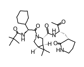 CC(=O)[C@H](C[C@@H]1CCCNC1=O)NC(=O)[C@@H]1[C@@H]2[C@H](CN1C(=O)[C@@H](NC(=O)C(C)(C)C)C1CCCCC1)C2(C)C